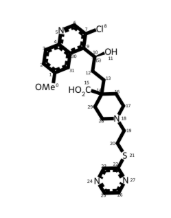 COc1ccc2ncc(Cl)c([C@@H](O)CCC3(C(=O)O)CCN(CCSc4cnccn4)CC3)c2c1